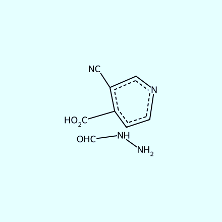 N#Cc1cnccc1C(=O)O.NNC=O